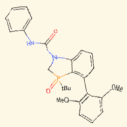 COc1cccc(OC)c1-c1cccc2c1P(=O)(C(C)(C)C)CN2C(=O)Nc1ccccc1